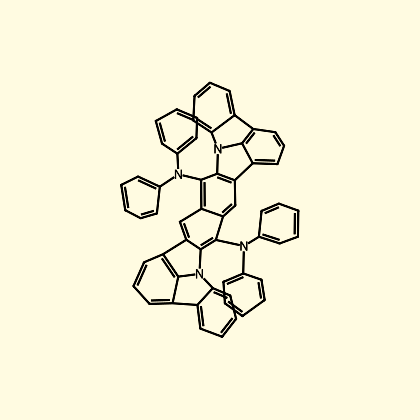 c1ccc(N(c2ccccc2)c2c3cc4c5cccc6c7ccccc7n(c4c(N(c4ccccc4)c4ccccc4)c3cc3c4cccc7c8ccccc8n(c23)c74)c65)cc1